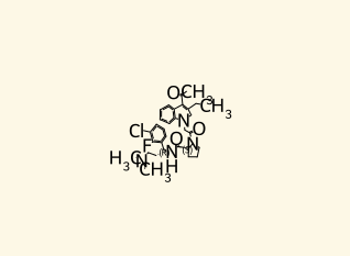 CCC1=C(C(C)=O)c2ccccc2N(CC(=O)N2CCC[C@H]2C(=O)N[C@H](CCN(C)C)c2cccc(Cl)c2F)C1